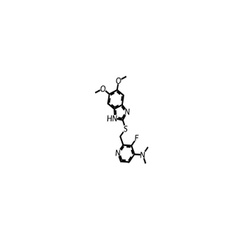 COc1cc2nc(SCc3nccc(N(C)C)c3F)[nH]c2cc1OC